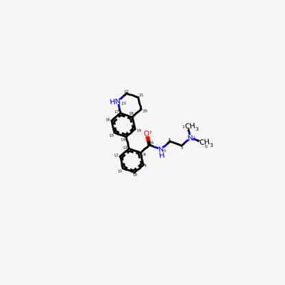 CN(C)CCNC(=O)c1ccccc1-c1ccc2c(c1)CCCN2